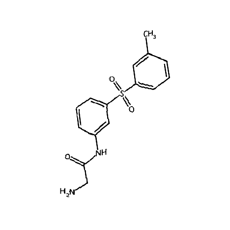 Cc1cccc(S(=O)(=O)c2cccc(NC(=O)CN)c2)c1